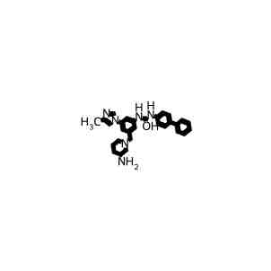 Cc1cn(-c2cc(CN3CCC[C@H](N)C3)cc(NC(O)Nc3ccc(-c4ccccc4)cc3)c2)cn1